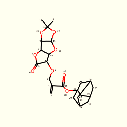 C=C(COC1C(=O)OC2C3OC(C)(C)OC3OC12)C(=O)OC12CC3CC(CC(C3)C1)C2